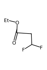 CCOC(=O)CC(F)F